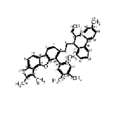 C=CC1C(CCc2ccc3c(oc4c3ccc3sc(C)c(C)c34)c2-c2cc(C)c(C)c[n+]2C)c2ccccc2-c2ccc(C)c[n+]21